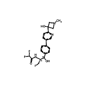 CN1CC(O)(c2ccc(-c3ccc([C@@H](O)[C@@H](CF)NC(=O)C(F)F)cc3)cn2)C1